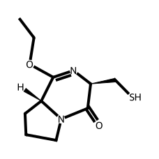 CCOC1=N[C@@H](CS)C(=O)N2CCC[C@H]12